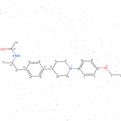 CCOc1ccc(N2CCC(c3ccc(CC(C)NC(C)=O)cc3)CC2)cc1